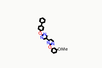 COc1cccc(Oc2nccc(-c3[c]nc(Oc4ccc(-c5ccccc5)cc4)nc3)n2)c1